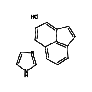 C1=Cc2cccc3cccc1c23.Cl.c1c[nH]cn1